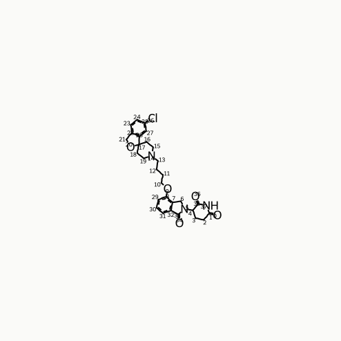 O=C1CCC(N2Cc3c(OCCCCN4CCC5(CC4)OCc4ccc(Cl)cc45)cccc3C2=O)C(=O)N1